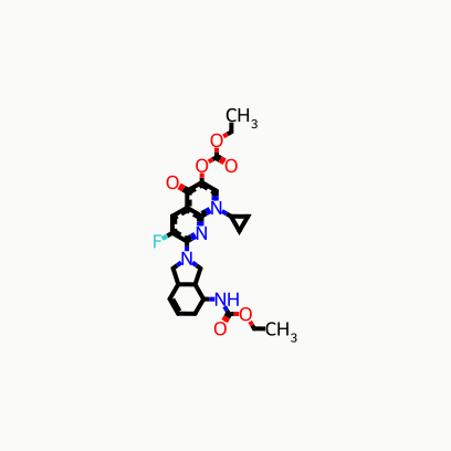 CCOC(=O)NC1CC=CC2CN(c3nc4c(cc3F)c(=O)c(OC(=O)OCC)cn4C3CC3)CC21